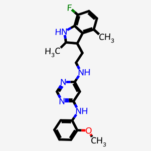 COc1ccccc1Nc1cc(NCCC2c3c(C)ccc(F)c3NC2C)ncn1